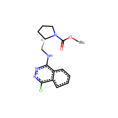 CC(C)(C)OC(=O)N1CCC[C@H]1CNc1nnc(Cl)c2ccccc12